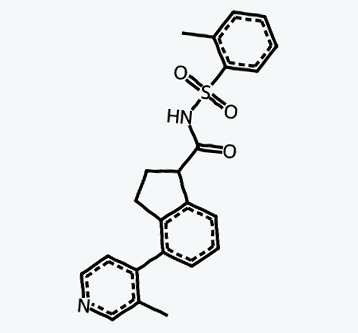 Cc1cnccc1-c1cccc2c1CCC2C(=O)NS(=O)(=O)c1ccccc1C